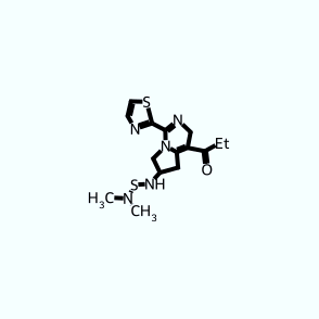 CCC(=O)C1=C2CC(NSN(C)C)CN2C(c2nccs2)=NC1